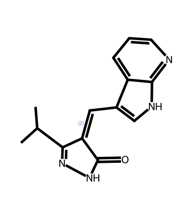 CC(C)C1=NNC(=O)/C1=C\c1c[nH]c2ncccc12